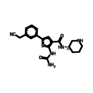 N#CCc1cccc(-c2cc(C(=O)N[C@H]3CCCNC3)c(NC(N)=O)s2)c1